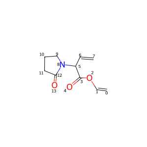 C=COC(=O)C(C=C)N1CCCC1=O